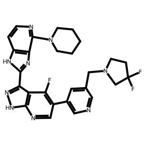 Fc1c(-c2cncc(CN3CCC(F)(F)C3)c2)cnc2[nH]nc(-c3nc4c(N5CCCCC5)nccc4[nH]3)c12